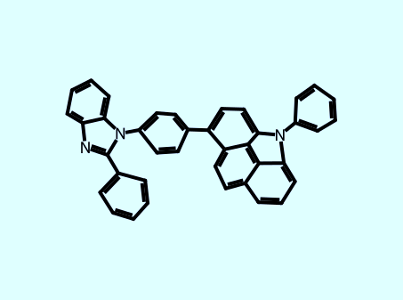 c1ccc(-c2nc3ccccc3n2-c2ccc(-c3ccc4c5c3ccc3cccc(c35)n4-c3ccccc3)cc2)cc1